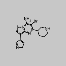 Nc1c(Br)c(C2CCCNC2)nc2c(C3=CCN=C3)cnn12